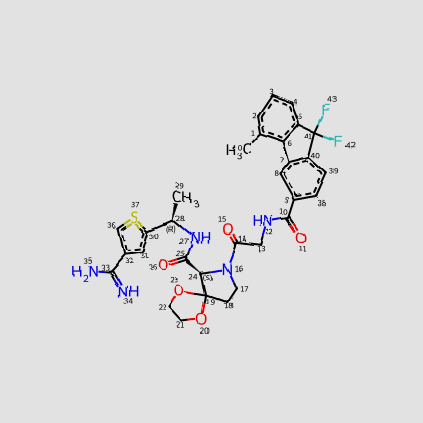 Cc1cccc2c1-c1cc(C(=O)NCC(=O)N3CCC4(OCCO4)[C@H]3C(=O)N[C@H](C)c3cc(C(=N)N)cs3)ccc1C2(F)F